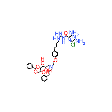 N=C(NCCCCc1ccc(OCCN(CCCc2ccccc2)C[C@H](O)[C@@H](O)[C@@H]2OC(c3ccccc3)OC[C@H]2O)cc1)NC(=O)c1nc(Cl)c(N)nc1N